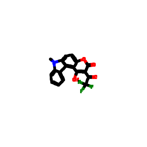 Cn1c2ccccc2c2c3c(O)c(C(=O)C(F)(F)F)c(=O)oc3ccc21